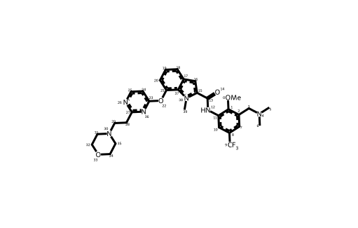 COc1c(CN(C)C)cc(C(F)(F)F)cc1NC(=O)c1cc2cccc(Oc3ccnc(CCN4CCOCC4)n3)c2n1C